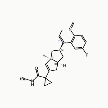 C=Nc1ccc(F)cc1/C(=C\C)[C@H]1C[C@H]2CC(C3(C(=O)NC(C)(C)C)CC3)=C[C@H]2C1